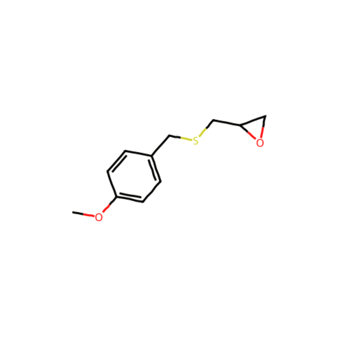 COc1ccc(CSCC2CO2)cc1